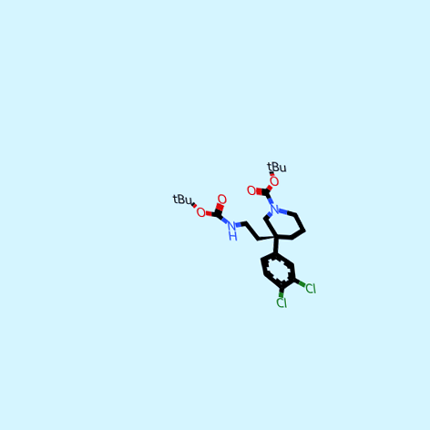 CC(C)(C)OC(=O)NCC[C@]1(c2ccc(Cl)c(Cl)c2)CCCN(C(=O)OC(C)(C)C)C1